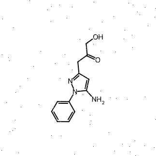 Nc1cc(CC(=O)CO)nn1-c1ccccc1